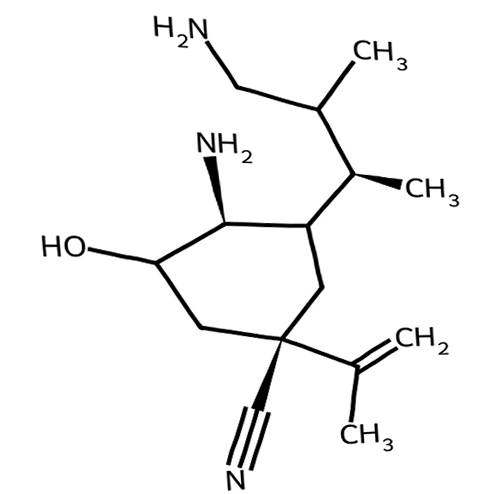 C=C(C)[C@]1(C#N)CC(O)[C@@H](N)C([C@H](C)C(C)CN)C1